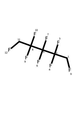 FCC(F)(F)C(F)(F)C(F)(F)CF